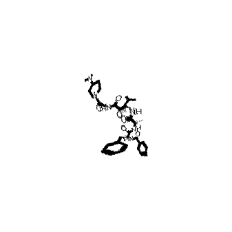 CC(C)[C@H](NC(=O)[C@H](C)NC(=O)[C@H](Cc1ccccc1)NC(=O)c1ccccc1)C(=O)C(=O)NCC(=O)N1CCC(N(C)C)CC1